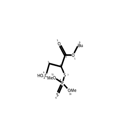 CCC(C)OC(=O)C(CC(=O)O)SP(=S)(OC)OC